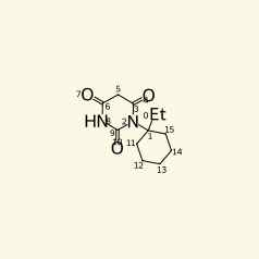 CCC1(N2C(=O)CC(=O)NC2=O)CCCCC1